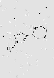 Cn1cc(C2CSCCN2)[c]n1